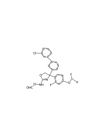 O=CONC1=NC(c2cccc(-c3cccc(Cl)c3)c2)(c2ccc(OC(F)F)cc2F)CO1